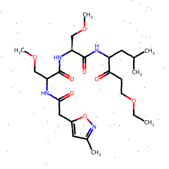 CCOCCC(=O)C(CC(C)C)NC(=O)[C@H](COC)NC(=O)C(COC)NC(=O)Cc1cc(C)no1